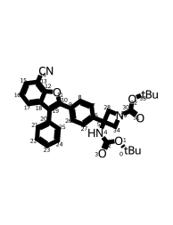 CC(C)(C)OC(=O)NC1(c2ccc(-c3oc4c(C#N)cccc4c3-c3ccccc3)cc2)CN(C(=O)OC(C)(C)C)C1